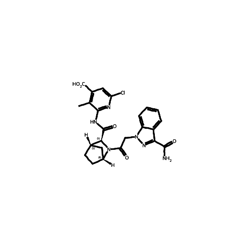 Cc1c(C(=O)O)cc(Cl)nc1NC(=O)[C@@H]1[C@H]2CC[C@H](C2)N1C(=O)Cn1nc(C(N)=O)c2ccccc21